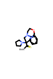 CNC(=S)C(CN1CCOCC1)(c1ccccn1)N1CCCC1